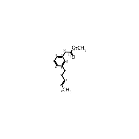 CC=CCCc1cccc(CC(=O)OC)c1